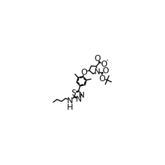 CCCCNc1nnc(-c2cc(C)c(OC3CC(C(=O)OC)N(C(=O)OC(C)(C)C)C3)c(C)c2)s1